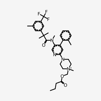 CCCC(=O)OC[N+]1(C)CCN(c2cc(-c3ccccc3C)c(N(C)C(=O)C(C)(C)c3cc(C)cc(C(F)(F)F)c3)cn2)CC1